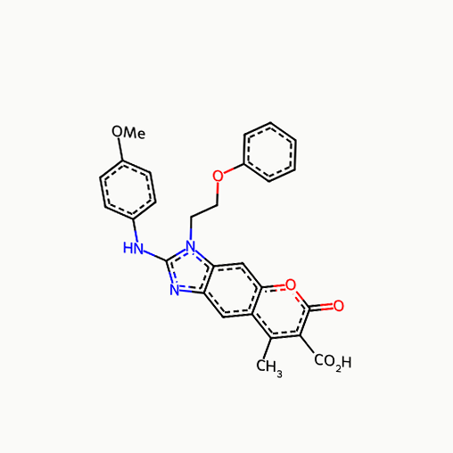 COc1ccc(Nc2nc3cc4c(C)c(C(=O)O)c(=O)oc4cc3n2CCOc2ccccc2)cc1